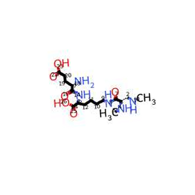 CNC[C@H](NC)C(=O)NCCCCC(NC(=O)[C@@H](N)CCC(=O)O)C(=O)O